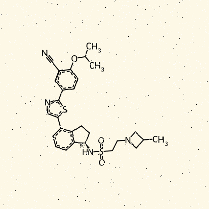 CC1CN(CCS(=O)(=O)N[C@@H]2CCc3c(-c4cnc(-c5ccc(OC(C)C)c(C#N)c5)s4)cccc32)C1